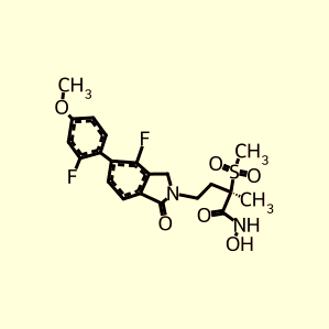 COc1ccc(-c2ccc3c(c2F)CN(CC[C@](C)(C(=O)NO)S(C)(=O)=O)C3=O)c(F)c1